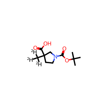 [2H]C([2H])([2H])C1(C(=O)O)CCN(C(=O)OC(C)(C)C)C1